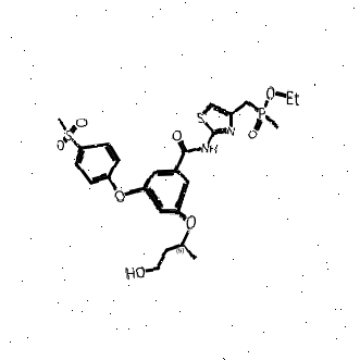 CCOP(C)(=O)Cc1csc(NC(=O)c2cc(Oc3ccc(S(C)(=O)=O)cc3)cc(O[C@@H](C)CCO)c2)n1